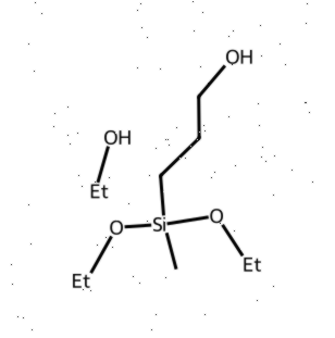 CCO.CCO[Si](C)(CCCO)OCC